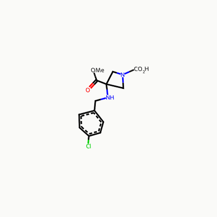 COC(=O)C1(NCc2ccc(Cl)cc2)CN(C(=O)O)C1